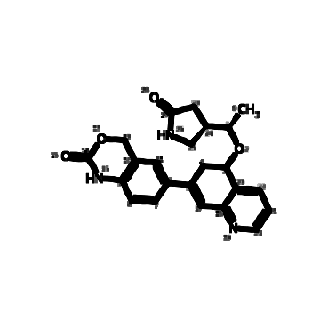 C[C@@H](OC1CC(c2ccc3c(c2)COC(=O)N3)=Cc2ncccc21)[C@H]1CNC(=O)C1